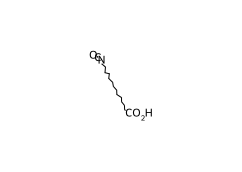 O=C=NCCCCCCCCCCCCCC(=O)O